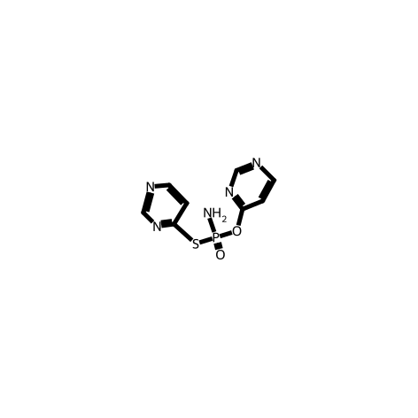 NP(=O)(Oc1ccncn1)Sc1ccncn1